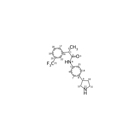 CC(C(=O)Nc1ccc(C2CCNC2)cc1)c1cccc(C(F)(F)F)c1